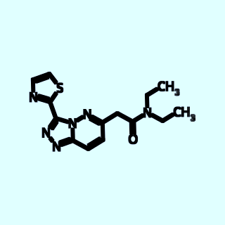 CCN(CC)C(=O)Cc1ccc2nnc(-c3nccs3)n2n1